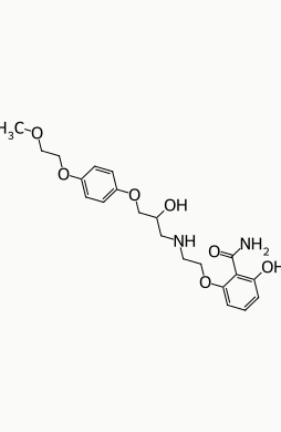 COCCOc1ccc(OCC(O)CNCCOc2cccc(O)c2C(N)=O)cc1